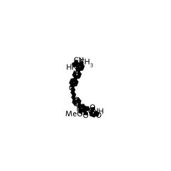 COc1nc(N2CCN(CCCCOc3ccc(C4CCN(c5ccc(C)c6c(C#N)c[nH]c56)CC4)cc3)CC2)cc2c1C(=O)N(C1CCC(=O)NC1=O)C2